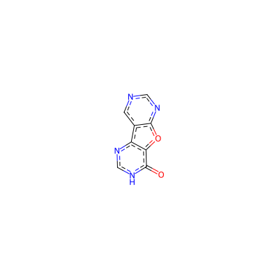 O=c1[nH]cnc2c1oc1ncncc12